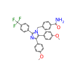 COc1ccc(-c2nc(-c3ccc(C(F)(F)F)cc3)n(Cc3ccc(C(N)=O)cc3)c2-c2ccc(OC)cc2)cc1